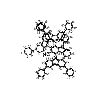 N#Cc1c(-n2c3ccc(-c4ccccc4)cc3c3cc(-c4ccccc4)ccc32)c(-n2c3ccc(-c4ccccc4)cc3c3cc(-c4ccccc4)ccc32)c2c(c1-n1c3ccc(-c4ccccc4)cc3c3cc(-c4ccccc4)ccc31)c1ccccc1n2-c1ccccc1